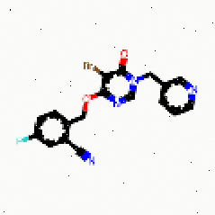 N#Cc1cc(F)ccc1COc1ncn(Cc2cccnc2)c(=O)c1Br